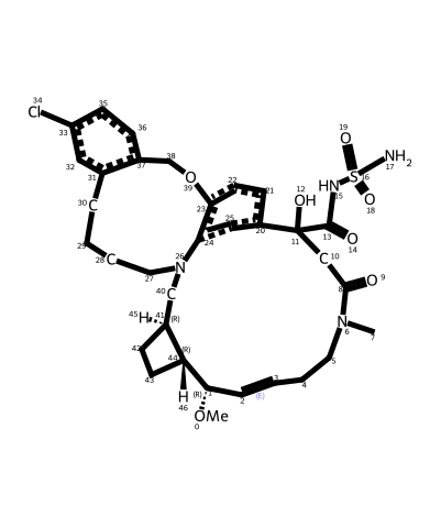 CO[C@H]1/C=C/CCN(C)C(=O)CC(O)(C(=O)NS(N)(=O)=O)c2ccc3c(c2)N(CCCCc2cc(Cl)ccc2CO3)C[C@@H]2CC[C@H]21